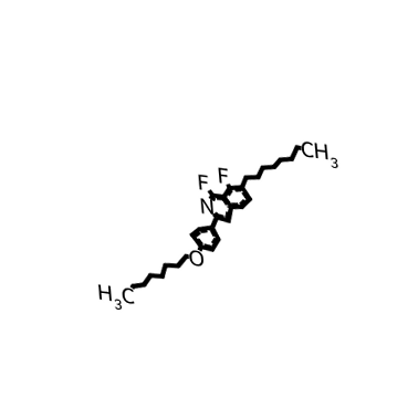 CCCCCCCCOc1ccc(-c2cc3ccc(CCCCCCCC)c(F)c3c(F)n2)cc1